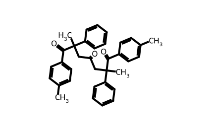 Cc1ccc(C(=O)C(C)(CC(=O)CC(C)(C(=O)c2ccc(C)cc2)c2ccccc2)c2ccccc2)cc1